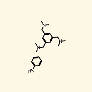 CN(C)Cc1cc(CN(C)C)cc(CN(C)C)c1.Sc1ccccc1